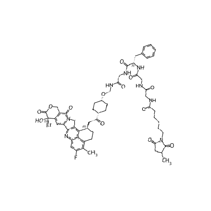 CC[C@@]1(O)C(=O)OCc2c1cc1n(c2=O)Cc2c-1nc1cc(F)c(C)c3c1c2[C@@H](CC(=O)[C@H]1CC[C@@H](OCNC(=O)CNC(=O)[C@H](Cc2ccccc2)NC(=O)CNC(=O)CNC(=O)CCCCCN2C(=O)CC(C)C2=O)CC1)CC3